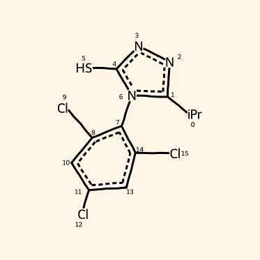 CC(C)c1nnc(S)n1-c1c(Cl)cc(Cl)cc1Cl